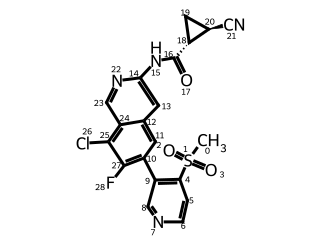 CS(=O)(=O)c1ccncc1-c1cc2cc(NC(=O)[C@@H]3C[C@H]3C#N)ncc2c(Cl)c1F